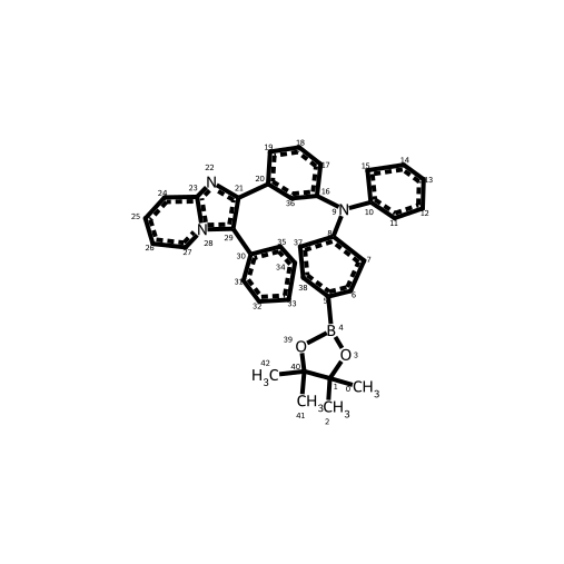 CC1(C)OB(c2ccc(N(c3ccccc3)c3cccc(-c4nc5ccccn5c4-c4ccccc4)c3)cc2)OC1(C)C